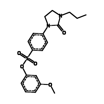 CCCN1CCN(c2ccc(S(=O)(=O)Oc3cccc(OC)c3)cc2)C1=O